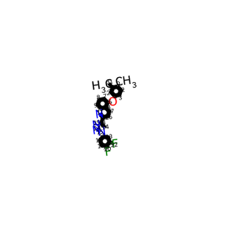 Cc1ccc(Oc2cccc3nc(-c4cn(-c5ccc(F)c(F)c5)nn4)ccc23)cc1C